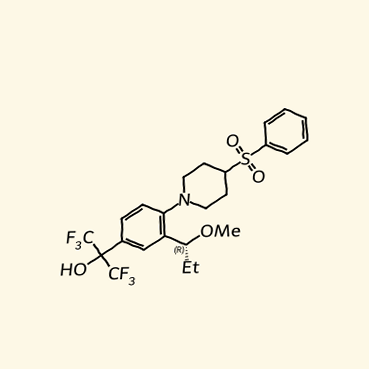 CC[C@@H](OC)c1cc(C(O)(C(F)(F)F)C(F)(F)F)ccc1N1CCC(S(=O)(=O)c2ccccc2)CC1